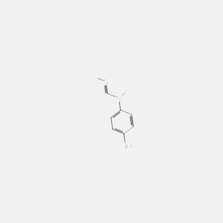 CN=CN(C)c1ccc(C(C)C)cc1